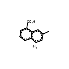 Cc1ccc2cccc(C(=O)O)c2c1.[InH3]